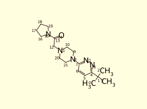 CC(C)(C)c1ccc(N2CCN(CC(=O)N3CCCC3)CC2)nn1